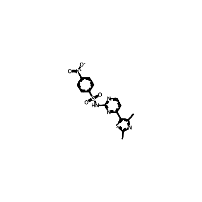 Cc1nc(C)c(-c2ccnc(NS(=O)(=O)c3ccc([N+](=O)[O-])cc3)n2)s1